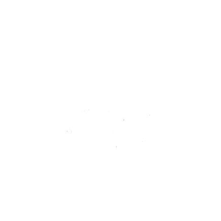 O=[C]OC1(C(=O)OC23CC4CC(CC(C4)C2)C3)CCCC1